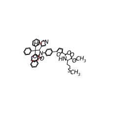 COC(=O)C(CCSC)NC(=O)c1ccc(-c2ccc(N(C(c3cnc[nH]3)C(c3ccccc3)(c3ccccc3)c3ccccc3)S(=O)(=O)c3ccccc3)cc2)o1